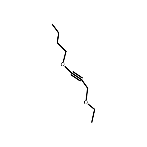 CCCCOC#CCOCC